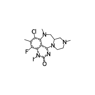 Cc1c(Cl)c2c3c(nc(=O)n(I)c3c1F)N1CCN(C)CC1CN2C